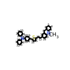 CN1c2ccccc2Cc2cc(C=Cc3ccc(-c4ccc(N(c5ccccc5)c5ccccc5)cc4)s3)ccc21